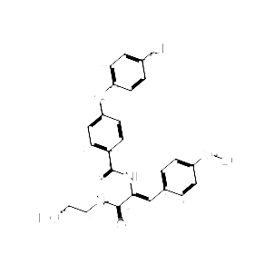 CCOc1ccc(/C=C(\NC(=O)c2ccc(Oc3ccc(C(F)(F)F)cc3)cc2)C(=O)NCCO)cc1